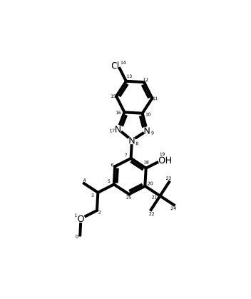 COCC(C)c1cc(-n2nc3ccc(Cl)cc3n2)c(O)c(C(C)(C)C)c1